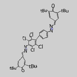 CC(C)(C)C1=CC(=C/N=N/c2ccc(-c3c(Cl)c(Cl)c(/N=N/C=C4C=C(C(C)(C)C)C(=O)C(C(C)(C)C)=C4)c(Cl)c3Cl)cc2)C=C(C(C)(C)C)C1=O